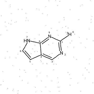 [3H]c1ncc2cc[nH]c2n1